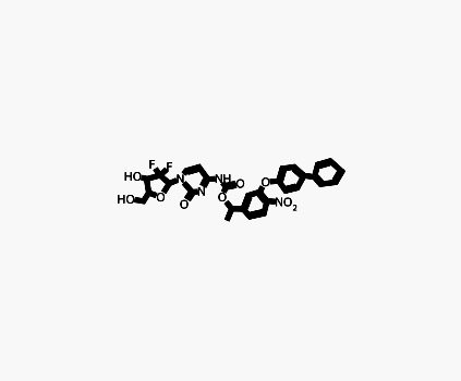 CC(OC(=O)Nc1ccn(C2OC(CO)C(O)C2(F)F)c(=O)n1)c1ccc([N+](=O)[O-])c(Oc2ccc(-c3ccccc3)cc2)c1